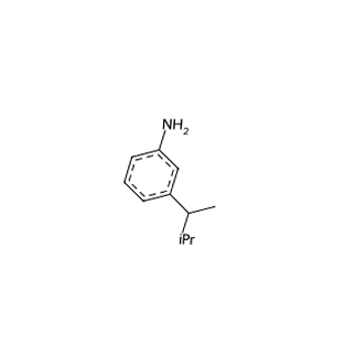 CC(C)C(C)c1cccc(N)c1